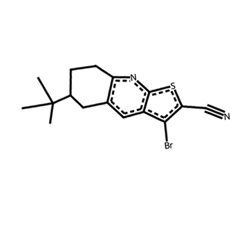 CC(C)(C)C1CCc2nc3sc(C#N)c(Br)c3cc2C1